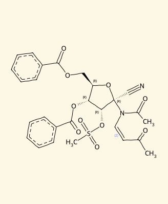 CC(=O)/C=C\N(C(C)=O)[C@]1(C#N)O[C@H](COC(=O)c2ccccc2)[C@@H](OC(=O)c2ccccc2)[C@H]1OS(C)(=O)=O